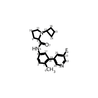 Cc1ccc(NC(=O)C2CCCN2C2CCC2)cc1-c1cncc(F)c1